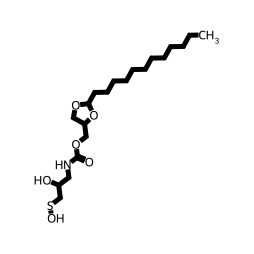 CCCCCCCCCCCCC1OCC(COC(=O)NCC(O)CSO)O1